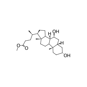 COC(=O)CC[C@@H](C)[C@H]1CCC2[C@H]3C(CC[C@@]21C)[C@@]1(C)CC[C@@H](O)C[C@H]1C[C@@H]3O